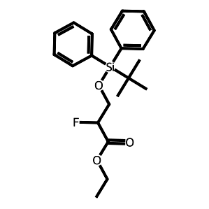 CCOC(=O)C(F)CO[Si](c1ccccc1)(c1ccccc1)C(C)(C)C